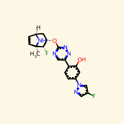 C[C@@]12C=C[C@@H](C[C@H](Oc3ncc(-c4ccc(-n5cc(F)cn5)cc4O)nn3)[C@@H]1F)N2